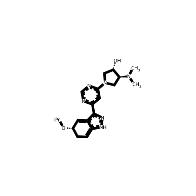 CC(C)O[C@@H]1C=c2c(-c3cc(N4C[C@H](O)[C@@H](N(C)C)C4)ncn3)n[nH]c2=CC1